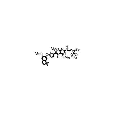 COc1cc2c(cc1Oc1nc(C(=O)Nc3c(OC)nc(NCCN(C(=O)OC(C)(C)C)C(C)C)nc3OC)cs1)C(C)(C)CC2